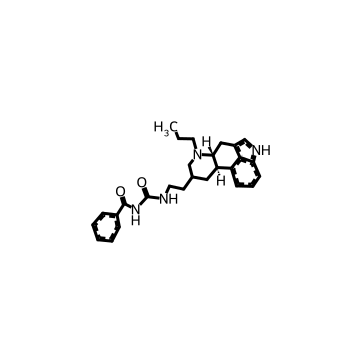 CCCN1CC(CCNC(=O)NC(=O)c2ccccc2)C[C@@H]2c3cccc4[nH]cc(c34)C[C@H]21